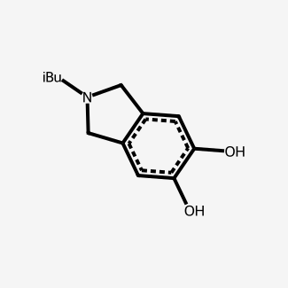 CCC(C)N1Cc2cc(O)c(O)cc2C1